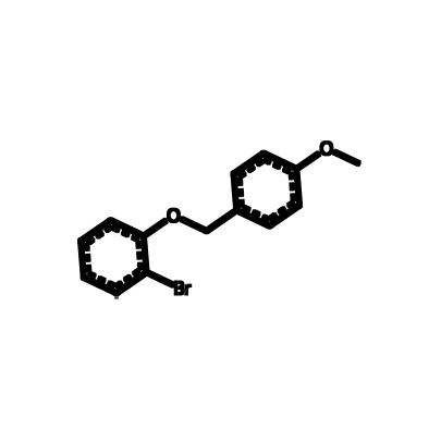 COc1ccc(COc2ccc[c]c2Br)cc1